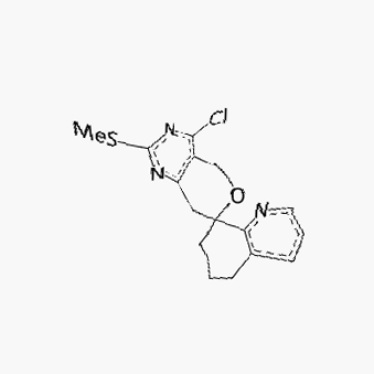 CSc1nc(Cl)c2c(n1)CC1(CCCc3cccnc31)OC2